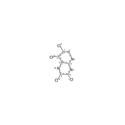 Clc1cnc2nc(Cl)c(Cl)nc2c1Cl